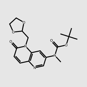 CN(C(=O)OC(C)(C)C)c1cnc2ccc(=O)n(CC3OCCO3)c2c1